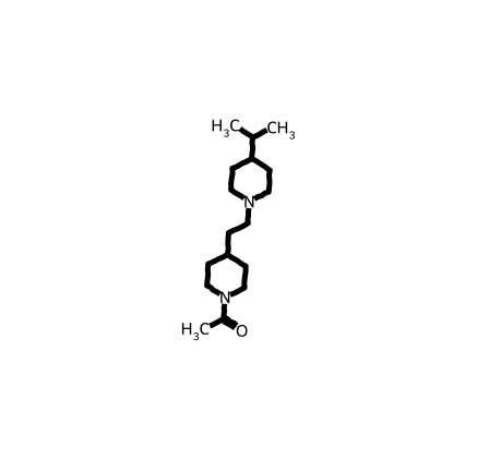 CC(=O)N1CCC(CCN2CCC(C(C)C)CC2)CC1